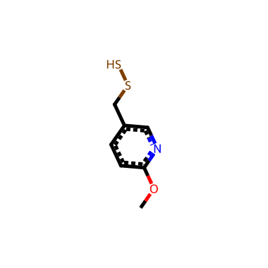 COc1ccc(CSS)cn1